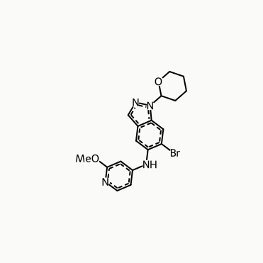 COc1cc(Nc2cc3cnn(C4CCCCO4)c3cc2Br)ccn1